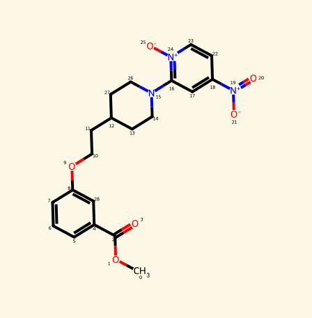 COC(=O)c1cccc(OCCC2CCN(c3cc([N+](=O)[O-])cc[n+]3[O-])CC2)c1